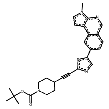 Cn1ccc2c3cc(-c4cnc(C#CC5CCN(C(=O)OC(C)(C)C)CC5)s4)ccc3cnc21